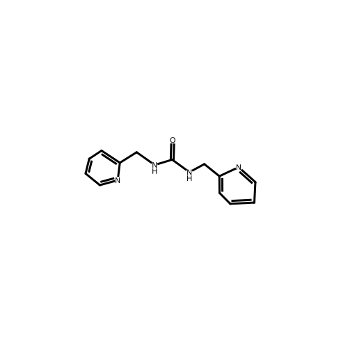 O=C(NCc1ccccn1)NCc1ccccn1